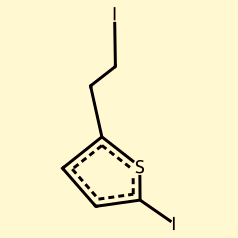 ICCc1ccc(I)s1